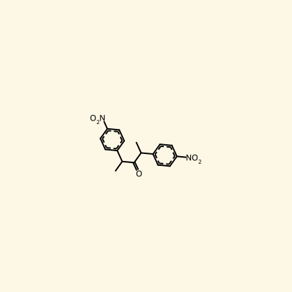 CC(C(=O)C(C)c1ccc([N+](=O)[O-])cc1)c1ccc([N+](=O)[O-])cc1